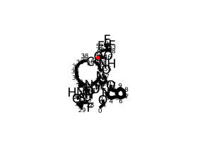 CCOc1cc2ccccc2c(O[C@@H]2C[C@H]3C(=O)N[C@]4(C(=O)NS(=O)(=O)C5(CF)CC5)CC4/C=C\CC[C@H](C)C[C@@H](C)[C@H](NC(=O)OC(C)(C)C(F)(F)F)C(=O)N3C2)n1